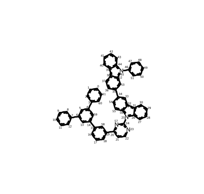 c1ccc(-c2cc(-c3ccccc3)cc(-c3cccc(-c4ccnc(-n5c6ccccc6c6cc(-c7ccc8c9ccccc9n(-c9ccccc9)c8c7)ccc65)n4)c3)c2)cc1